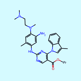 Cc1cc(N(C)CCN(C)C)c(N)cc1Nc1ncc(C(=O)OC(C)C)c(-n2cc(C)c3ccccc32)n1